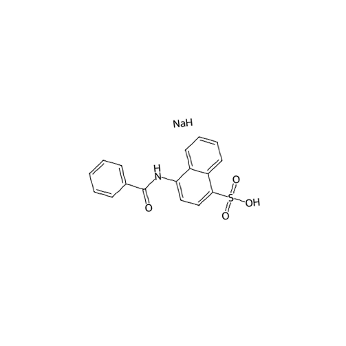 O=C(Nc1ccc(S(=O)(=O)O)c2ccccc12)c1ccccc1.[NaH]